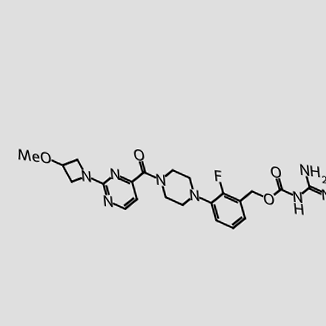 COC1CN(c2nccc(C(=O)N3CCN(c4cccc(COC(=O)NC(=N)N)c4F)CC3)n2)C1